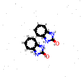 O=C1N=c2ccccc2=N1.O=C1N=c2ccccc2=N1